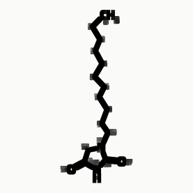 CCCCCCCCCCCN1CC(=O)NC1=O